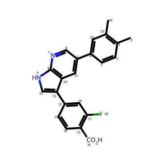 Cc1ccc(-c2cnc3[nH]cc(-c4ccc(C(=O)O)c(F)c4)c3c2)cc1C